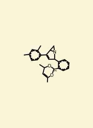 CC1=CC(C)O[C@@H](c2ccccc2C2C=C(c3ccc(C)cc3C)C3CN32)O1